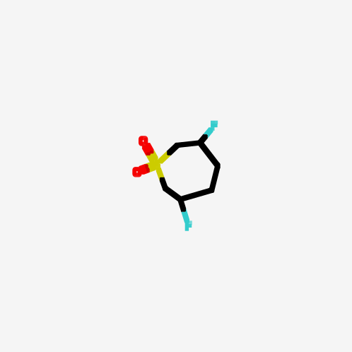 O=S1(=O)CC(F)CCC(F)C1